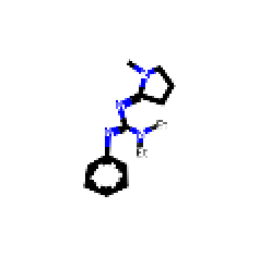 CCN(CC)C(N=C1CCCN1C)=Nc1ccccc1